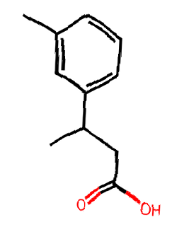 Cc1cccc(C(C)CC(=O)O)c1